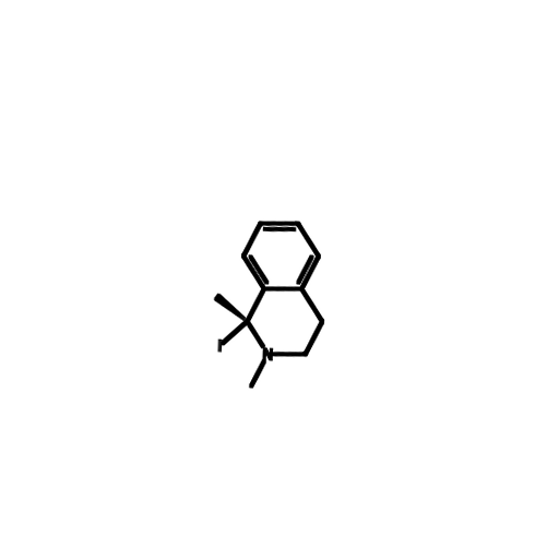 CN1CCc2ccccc2[C@@]1(C)I